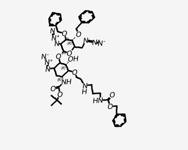 CC(C)(C)OC(=O)N[C@@H]1CC(N=[N+]=[N-])C(O[C@H]2OC(CN=[N+]=[N-])[C@@H](OCc3ccccc3)[C@H](OCc3ccccc3)C2N=[N+]=[N-])[C@H](O)C1OCCNCCCNC(=O)OCc1ccccc1